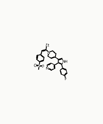 CCC(=Cc1ccc(S(C)(=O)=O)cc1)N1CC=C(c2c[nH]c(-c3ccc(F)cc3)c2-c2ccncc2)CC1